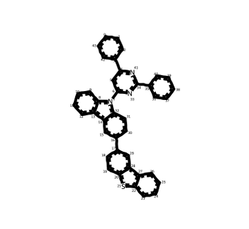 c1ccc(-c2cc(-n3c4ccccc4c4cc(-c5ccc6sc7ccccc7c6c5)ccc43)nc(-c3ccccc3)n2)cc1